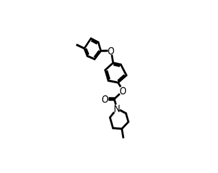 Cc1ccc(Oc2ccc(OC(=O)N3CCC(C)CC3)cc2)cc1